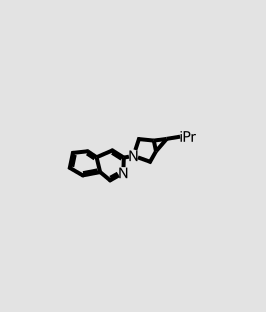 CC(C)C1C2CN(c3cc4ccccc4cn3)CC21